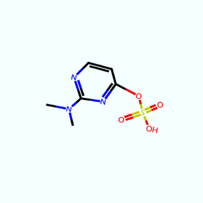 CN(C)c1nccc(OS(=O)(=O)O)n1